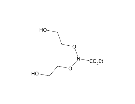 CCOC(=O)N(OCCO)OCCO